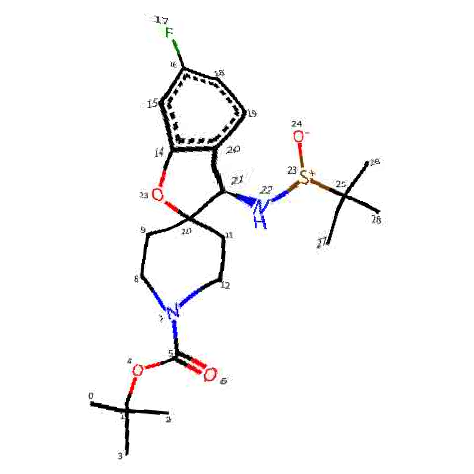 CC(C)(C)OC(=O)N1CCC2(CC1)Oc1cc(F)ccc1[C@H]2N[S+]([O-])C(C)(C)C